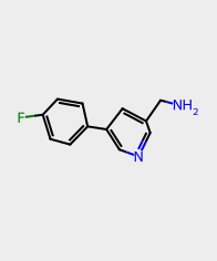 NCc1cncc(-c2ccc(F)cc2)c1